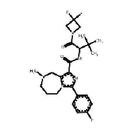 CN1CCCn2c(-c3ccc(F)cc3)nc(C(=O)NC(C(=O)N3CC(F)(F)C3)C(C)(C)C)c2C1